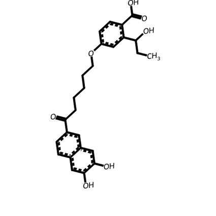 CCC(O)c1cc(OCCCCCC(=O)c2ccc3cc(O)c(O)cc3c2)ccc1C(=O)O